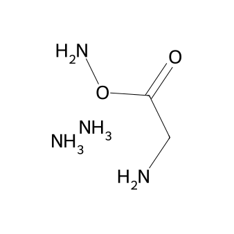 N.N.NCC(=O)ON